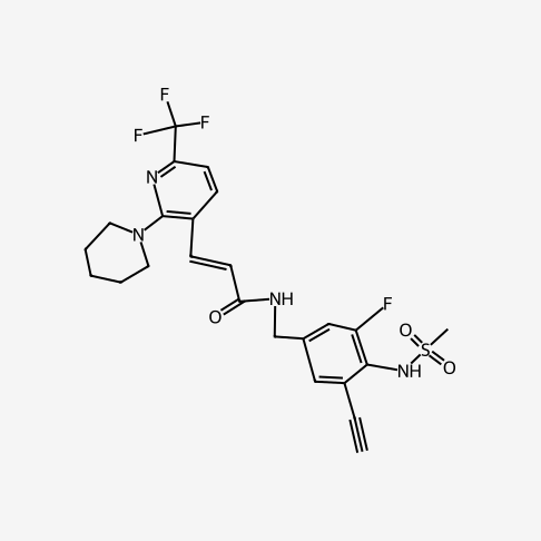 C#Cc1cc(CNC(=O)C=Cc2ccc(C(F)(F)F)nc2N2CCCCC2)cc(F)c1NS(C)(=O)=O